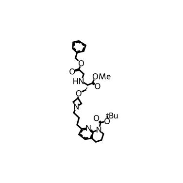 COC(=O)[C@H](COC1CN(CCCc2ccc3c(n2)N(C(=O)OC(C)(C)C)CCC3)C1)NCC(=O)OCc1ccccc1